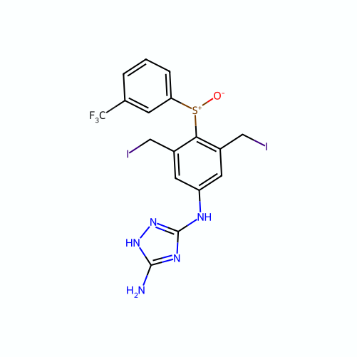 Nc1nc(Nc2cc(CI)c([S+]([O-])c3cccc(C(F)(F)F)c3)c(CI)c2)n[nH]1